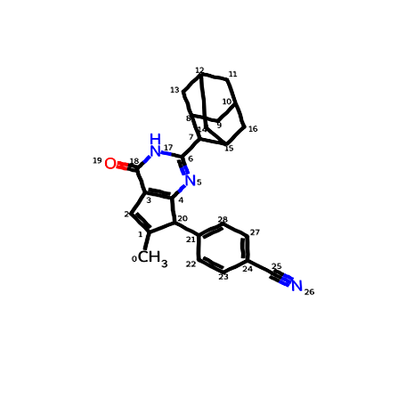 CC1=Cc2c(nc(C3C4CC5CC(C4)CC3C5)[nH]c2=O)C1c1ccc(C#N)cc1